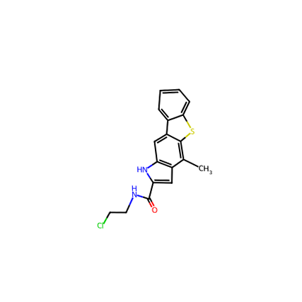 Cc1c2cc(C(=O)NCCCl)[nH]c2cc2c1sc1ccccc12